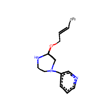 CCCC=CCOC1CN(c2cccnc2)CCN1